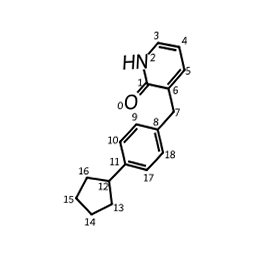 O=c1[nH]cccc1Cc1ccc(C2CCCC2)cc1